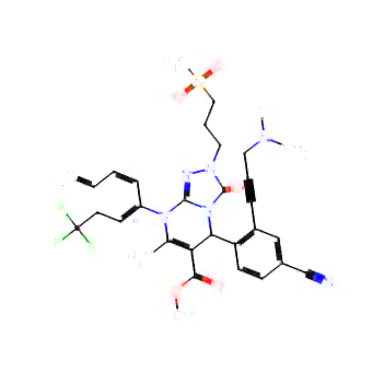 C=C/C=C\C(=C/CC(F)(F)F)N1C(C)=C(C(=O)OC)C(c2ccc(C#N)cc2C#CCN(C)C)n2c1nn(CCCS(C)(=O)=O)c2=O